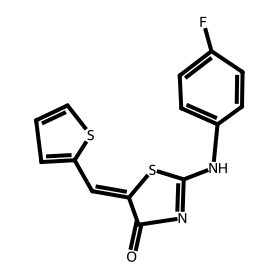 O=C1N=C(Nc2ccc(F)cc2)SC1=Cc1cccs1